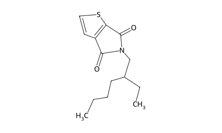 CCCCC(CC)CN1C(=O)c2ccsc2C1=O